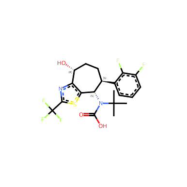 CC(C)(C)N(C(=O)O)[C@@H]1c2sc(C(F)(F)F)nc2[C@H](O)CC[C@H]1c1cccc(F)c1F